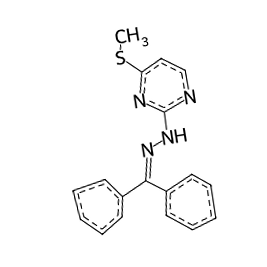 CSc1ccnc(NN=C(c2ccccc2)c2ccccc2)n1